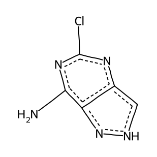 Nc1nc(Cl)nc2c[nH]nc12